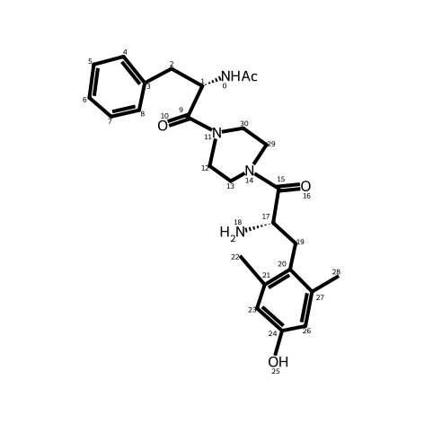 CC(=O)N[C@@H](Cc1ccccc1)C(=O)N1CCN(C(=O)[C@@H](N)Cc2c(C)cc(O)cc2C)CC1